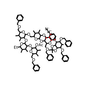 CCC1OC(OC2C(OCC3OC(OC4C(COCc5ccccc5)OC(OC5C(OCc6ccccc6)C(C)C(OCc6ccccc6)C6OC(C)(C)OC56)C(N=[N+]=[N-])C4C)C(OCc4ccccc4)C(C)C3C)OC(COCc3ccccc3)C(C)C2C)C(OC2OC(COCc3ccccc3)C(C)C(C)C2OC(C)=O)C(C)C1C